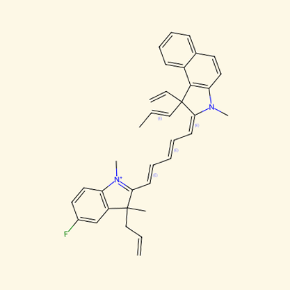 C=CCC1(C)C(/C=C/C=C/C=C2/N(C)c3ccc4ccccc4c3C2(C=C)/C=C/C)=[N+](C)c2ccc(F)cc21